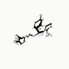 Cc1nccn1/C=C(/OCCOc1ccc(Cl)cc1)c1ccc(Cl)cc1